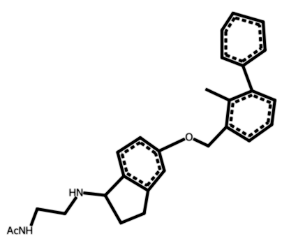 CC(=O)NCCNC1CCc2cc(OCc3cccc(-c4ccccc4)c3C)ccc21